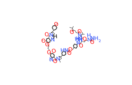 C=Nc1cc(OCCCOc2cc3c(cc2OC)C(=O)N2C=C(c4ccc(OC)cc4)C[C@H]2C=N3)c(OC)cc1C(=O)N1C=C(c2ccc(NC(=O)OCc3ccc(NC(=O)[C@H](CCCNC(N)=O)NC(=O)[C@@H](NC(=O)CCC(=O)C(C)C)C(C)C)cc3)cc2)C[C@H]1C